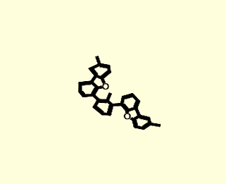 Cc1ccc2oc3c(-c4cccc(-c5cccc6c5oc5ccc(C)cc56)c4C)cccc3c2c1